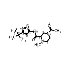 CC(=O)N1CCN(C)C(C(=O)Nc2cc(C(C)(C)C)no2)C1